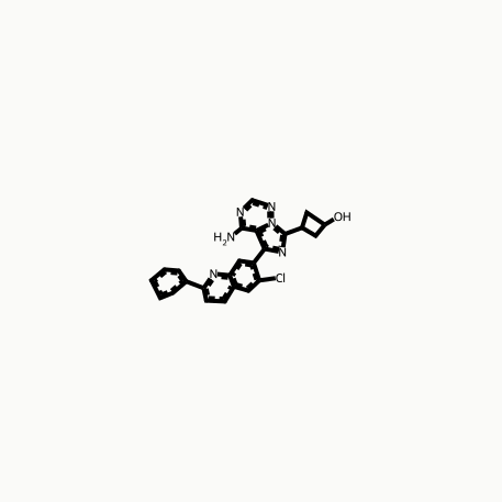 Nc1ncnn2c(C3CC(O)C3)nc(-c3cc4nc(-c5ccccc5)ccc4cc3Cl)c12